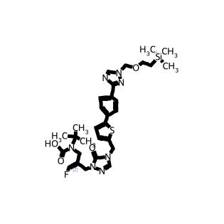 CC(C)(C)N(C/C(=C/F)Cn1ncn(Cc2ccc(-c3ccc(-c4ncn(COCC[Si](C)(C)C)n4)cc3)s2)c1=O)C(=O)O